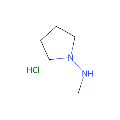 CNN1CCCC1.Cl